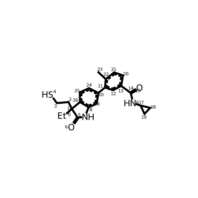 CCC1(CCS)C(=O)Nc2cc(-c3cc(C(=O)NC4CC4)ccc3C)ccc21